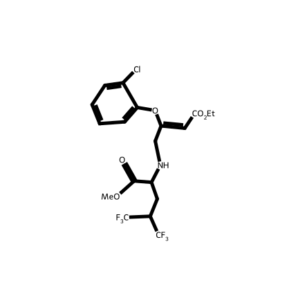 CCOC(=O)/C=C(/CNC(CC(C(F)(F)F)C(F)(F)F)C(=O)OC)Oc1ccccc1Cl